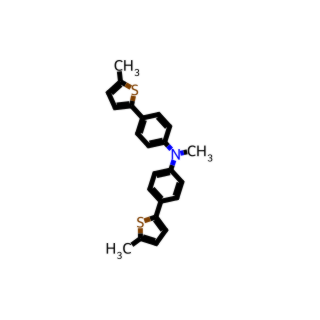 Cc1ccc(-c2ccc(N(C)c3ccc(-c4ccc(C)s4)cc3)cc2)s1